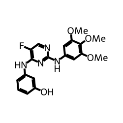 COc1cc(Nc2ncc(F)c(Nc3cccc(O)c3)n2)cc(OC)c1OC